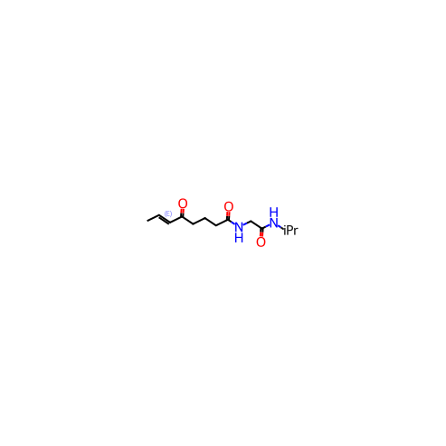 C/C=C/C(=O)CCCC(=O)NCC(=O)NC(C)C